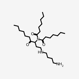 CCCCCCC(=O)C(CCNCCCCN)N(C(=O)CCCCCC)C(=O)CCCCCC